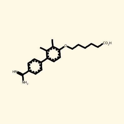 Cc1c(OCCCCCC(=O)O)ccc(-c2ccc(C(=N)N)cc2)c1C